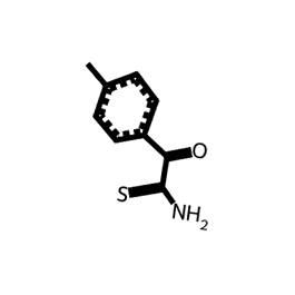 Cc1ccc(C(=O)C(N)=S)cc1